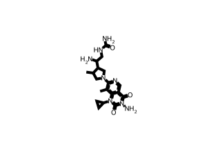 Cc1c(N2CC(C)C(C(N)CNC(N)=O)C2)ncc2c(=O)n(N)c(=O)n(C3CC3)c12